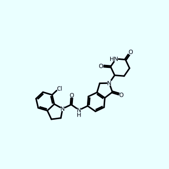 O=C1CCC(N2Cc3cc(NC(=O)N4CCc5cccc(Cl)c54)ccc3C2=O)C(=O)N1